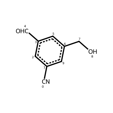 N#Cc1cc(C=O)cc(CO)c1